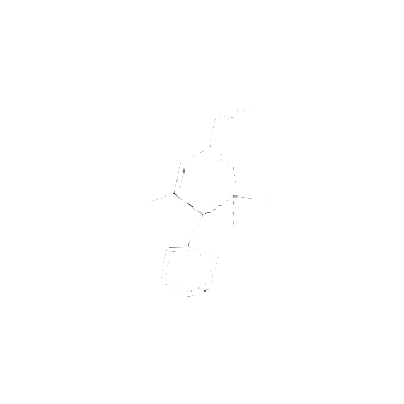 O=CC1=CC(O)(F)C(c2ccccc2)C(O)=C1